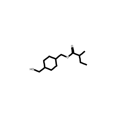 CCC(C)C(=O)OCC1CCC(CO)CC1